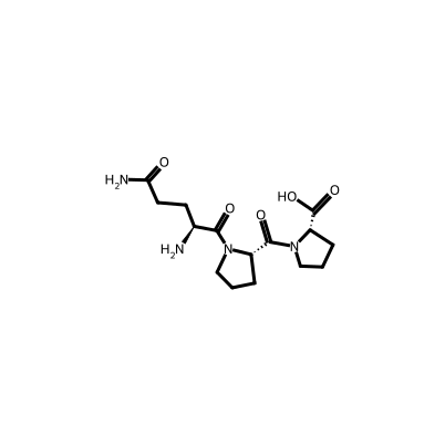 NC(=O)CC[C@H](N)C(=O)N1CCC[C@H]1C(=O)N1CCC[C@H]1C(=O)O